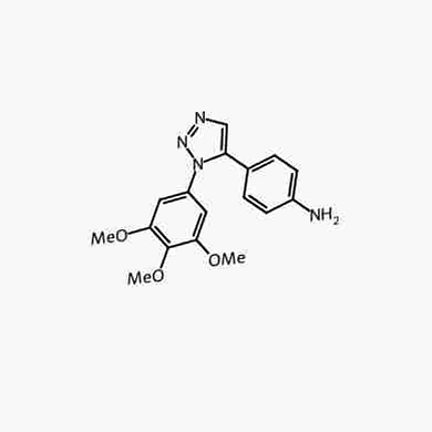 COc1cc(-n2nncc2-c2ccc(N)cc2)cc(OC)c1OC